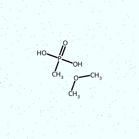 COC.CP(=O)(O)O